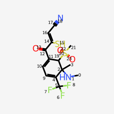 CNC1(C)C(C(F)(F)F)=CC=C(C(=O)C(S)=CC#N)C1S(C)(=O)=O